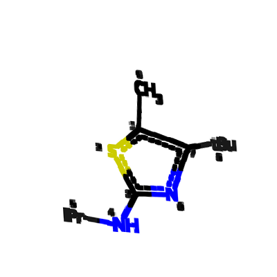 Cc1sc(NC(C)C)nc1C(C)(C)C